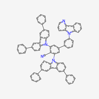 N#Cc1c(-n2c3ccc(-c4ccccc4)cc3c3cc(-c4ccccc4)ccc32)cc(-c2cccc(-n3c4ccccc4c4ncccc43)c2)cc1-n1c2ccc(-c3ccccc3)cc2c2cc(-c3ccccc3)ccc21